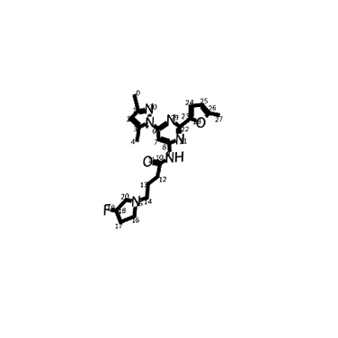 Cc1cc(C)n(-c2cc(NC(=O)CCCN3CCC(F)C3)nc(-c3ccc(C)o3)n2)n1